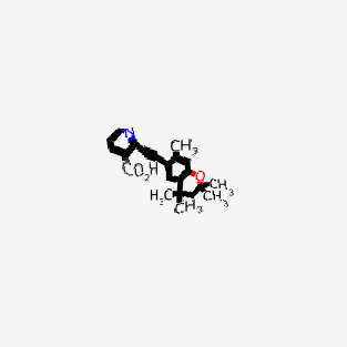 Cc1cc2c(cc1C#Cc1ncccc1C(=O)O)C(C)(C)CC(C)(C)O2